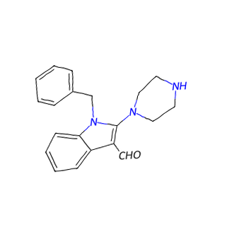 O=Cc1c(N2CCNCC2)n(Cc2ccccc2)c2ccccc12